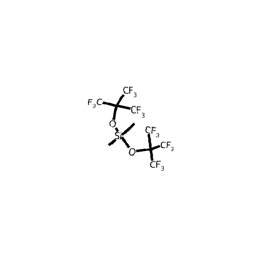 C[Si](C)(OC(C(F)(F)F)(C(F)(F)F)C(F)(F)F)OC(C(F)(F)F)(C(F)(F)F)C(F)(F)F